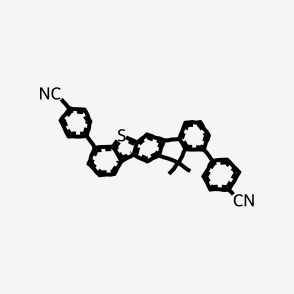 CC1(C)c2cc3c(cc2-c2cccc(-c4ccc(C#N)cc4)c21)sc1c(-c2ccc(C#N)cc2)cccc13